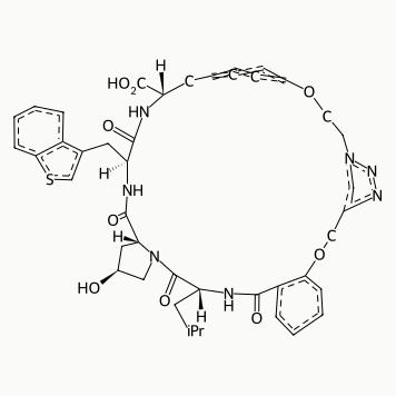 CC(C)C[C@H]1NC(=O)c2ccccc2OCc2cn(nn2)CCOc2ccc(cc2)C[C@@H](C(=O)O)NC(=O)[C@H](Cc2csc3ccccc23)NC(=O)[C@H]2C[C@H](O)CN2C1=O